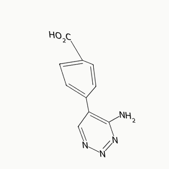 Nc1nnncc1-c1ccc(C(=O)O)cc1